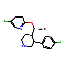 C[C@H](Oc1ccc(Cl)cn1)C1CCNCC1c1ccc(Cl)cc1